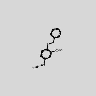 [N-]=[N+]=Nc1ccc(OCc2ccccc2)c(C=O)c1